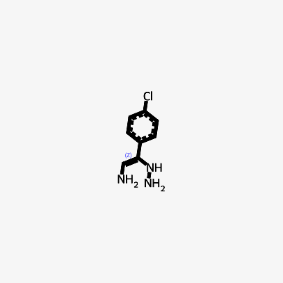 N/C=C(\NN)c1ccc(Cl)cc1